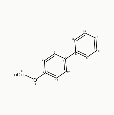 CCCCCCCCOc1[c]cc(-c2ccccc2)cc1